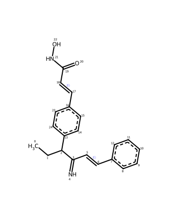 CCC(C(=N)/C=C/c1ccccc1)c1ccc(/C=C/C(=O)NO)cc1